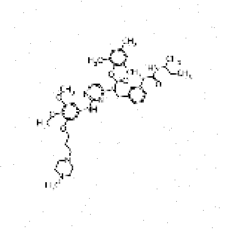 CCC(C)NC(=O)Cc1cccc(CN(C(=O)Oc2c(C)cc(C)cc2C)c2ccnc(Nc3cc(OC)c(OC)c(OCCCN4CCN(C)CC4)c3)n2)c1